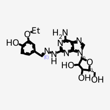 CCOc1cc(/C=N/Nc2nc(N)c3ncn([C@@H]4O[C@H](CO)C(O)C4O)c3n2)ccc1O